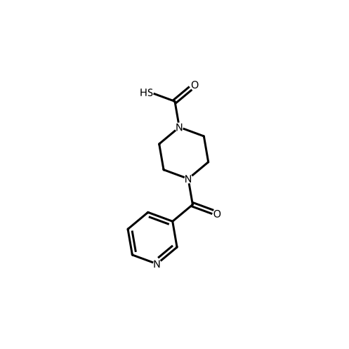 O=C(S)N1CCN(C(=O)c2cccnc2)CC1